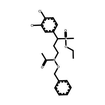 CCOP(C)(=O)C(CCN(OCc1ccccc1)C(C)=O)c1ccc(Cl)c(Cl)c1